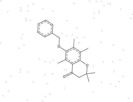 Cc1c(C)c2c(c(C)c1OCc1ccccc1)C(=O)CC(C)(C)O2